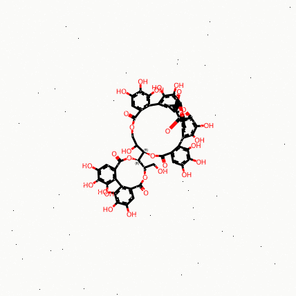 O=C1OC(CO)[C@H]([C@@H]2OC(=O)c3cc(O)c(O)c(O)c3-c3c(O)c(O)c4oc(=O)c5c(c(O)c(O)c6oc(=O)c3c4c65)-c3c(cc(O)c(O)c3O)C(=O)OCC2O)OC(=O)c2cc(O)c(O)c(O)c2-c2c1cc(O)c(O)c2O